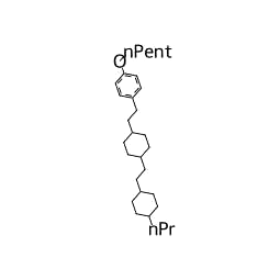 CCCCCOc1ccc(CCC2CCC(CCC3CCC(CCC)CC3)CC2)cc1